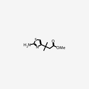 COC(=O)CC(C)(C)c1csc(N)n1